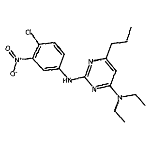 CCCc1cc(N(CC)CC)nc(Nc2ccc(Cl)c([N+](=O)[O-])c2)n1